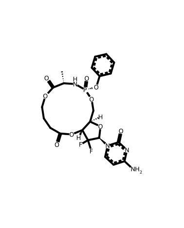 C[C@@H]1N[P@](=O)(Oc2ccccc2)OC[C@H]2O[C@@H](n3ccc(N)nc3=O)C(F)(F)[C@@H]2OC(=O)CCCOC1=O